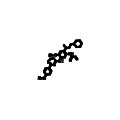 C=CC(=O)Nc1cc(Nc2ncnc(-c3ccc(OC)cc3)n2)c(OC)cc1N(C)CCN1CCCCC1